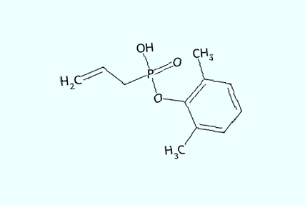 C=CCP(=O)(O)Oc1c(C)cccc1C